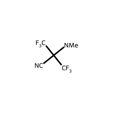 CNC(C#N)(C(F)(F)F)C(F)(F)F